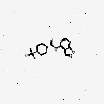 CC(C)(N)[C@H]1CC[C@H](C(=O)Nc2ncnc3[nH]ncc23)CC1